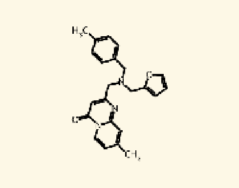 Cc1ccc(CN(Cc2cc(=O)n3ccc(C)cc3n2)Cc2ccco2)cc1